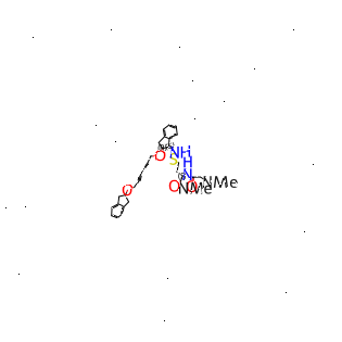 CNCC(=O)N[C@@H](CCSN[C@H]1c2ccccc2C[C@H]1OCC#CC#CCOC1Cc2ccccc2C1)C(=O)NC